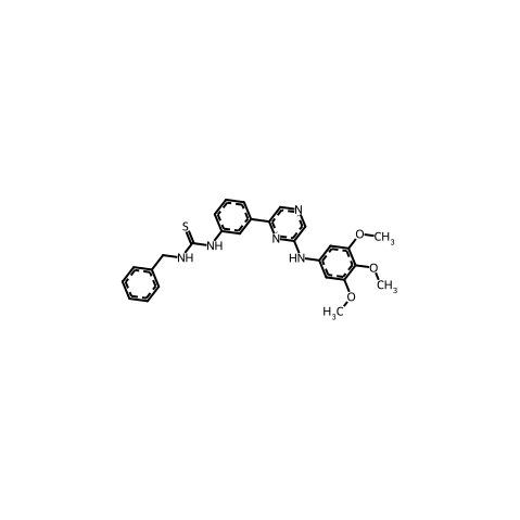 COc1cc(Nc2cncc(-c3cccc(NC(=S)NCc4ccccc4)c3)n2)cc(OC)c1OC